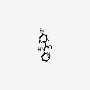 O=C(Nc1ccccn1)c1ncc(Br)cn1